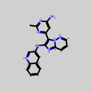 Cc1nc(N)cc(-c2c(Nc3cnc4ccccc4c3)nc3cccnn23)n1